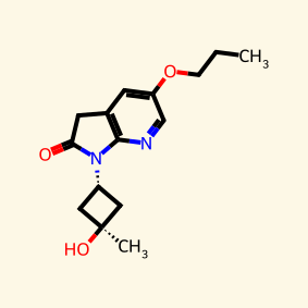 CCCOc1cnc2c(c1)CC(=O)N2[C@H]1C[C@](C)(O)C1